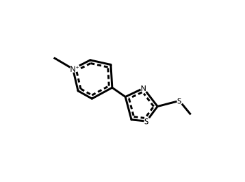 CSc1nc(-c2cc[n+](C)cc2)cs1